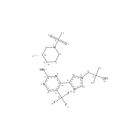 C[C@@H]1CN(S(C)(=O)=O)CC[C@@H]1Nc1ncc(C(F)(F)F)c(-c2cn(CC(C)(C)O)cn2)n1